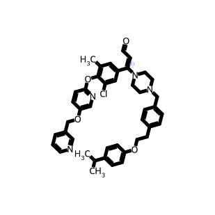 Cc1cc(/C(=C\C=O)N2CCN(Cc3ccc(CCOc4ccc(C(C)C)cc4)cc3)CC2)cc(Cl)c1Oc1ccc(OCc2cccnc2)cn1